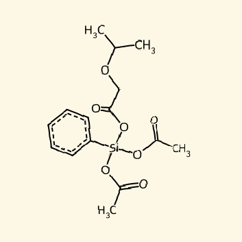 CC(=O)O[Si](OC(C)=O)(OC(=O)COC(C)C)c1ccccc1